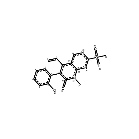 C=Cc1c(-c2ccccc2Cl)c(=O)n(C)c2nc(S(C)(=O)=O)ncc12